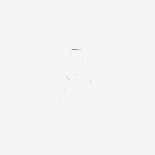 Cc1[nH]c(C(=O)NC2CCNCC2Cl)c(Cl)c1Cl.Cl